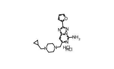 Cl.Cl.Nc1nc(CN2CCN(CC3CC3)CC2)cc2nc(-c3ccco3)nn12